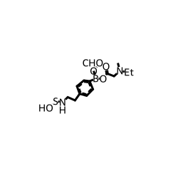 CCN(C)CC(=O)OB(OC=O)c1ccc(CCNSO)cc1